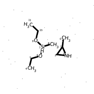 CC1CN1.CCO[SiH](C)OCC